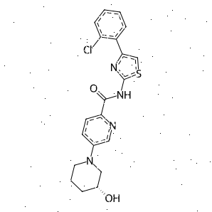 O=C(Nc1nc(-c2ccccc2Cl)cs1)c1ccc(N2CCC[C@@H](O)C2)cn1